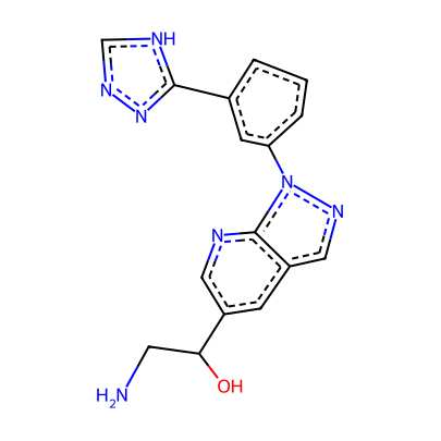 NCC(O)c1cnc2c(cnn2-c2cccc(-c3nnc[nH]3)c2)c1